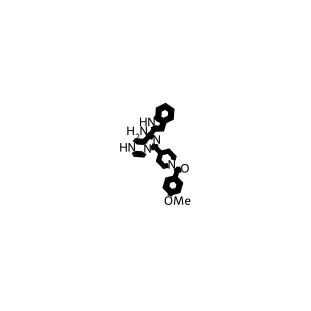 COc1ccc(C(=O)N2CCC(C3=NC(N)(c4cc5ccccc5[nH]4)C4=CNC=CN43)CC2)cc1